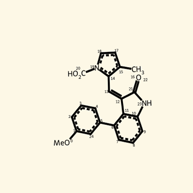 COc1cccc(-c2cccc3c2C(=Cc2c(C)ccn2C(=O)O)C(=O)N3)c1